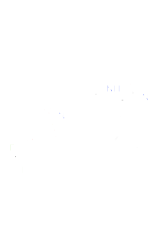 NC(=O)c1cc(-c2ccccc2)cc2c(C3CCN(S(=O)(=O)CCOCC(F)(F)F)CC3)c[nH]c12